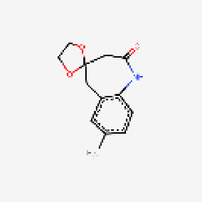 O=C1CC2(Cc3cc(C(F)(F)F)ccc3N1)OCCO2